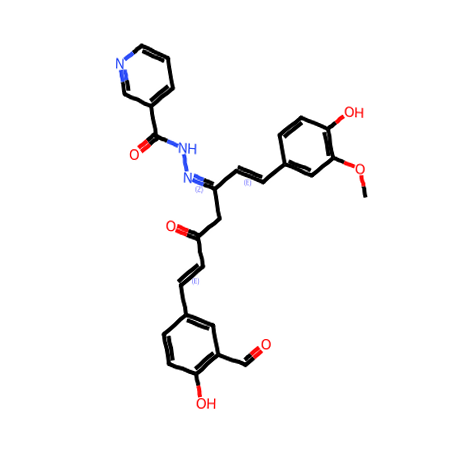 COc1cc(/C=C/C(CC(=O)/C=C/c2ccc(O)c(C=O)c2)=N\NC(=O)c2cccnc2)ccc1O